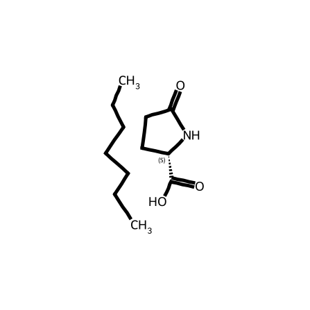 CCCCCCC.O=C1CC[C@@H](C(=O)O)N1